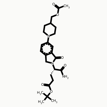 CC(=O)OCC1CCN(c2ccc3c(c2)C(=O)N([C@@H](CCC(=O)OC(C)(C)C)C(N)=O)C3)CC1